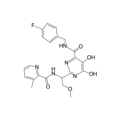 COCC(NC(=O)c1ncccc1C)c1nc(O)c(O)c(C(=O)NCc2ccc(F)cc2)n1